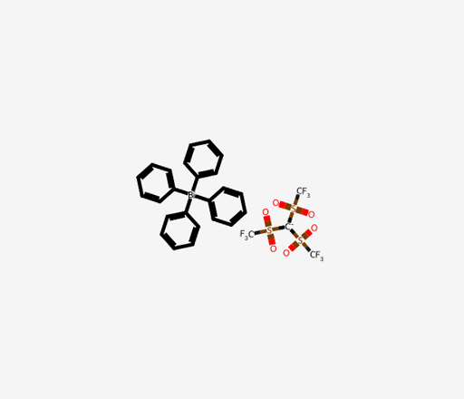 O=S(=O)([C-](S(=O)(=O)C(F)(F)F)S(=O)(=O)C(F)(F)F)C(F)(F)F.c1cc[c]([Bi]([c]2ccccc2)([c]2ccccc2)[c]2ccccc2)cc1